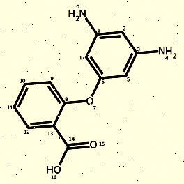 Nc1cc(N)cc(Oc2ccccc2C(=O)O)c1